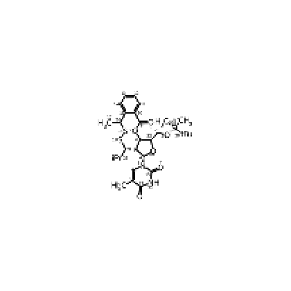 Cc1cn([C@H]2CC(OC(=O)c3ccccc3C(C)SSCC(C)C)[C@@H](CO[Si](C)(C)C(C)(C)C)O2)c(=O)[nH]c1=O